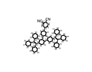 N#Cc1ncc(-c2ccc(-c3cc(C(=C(c4ccccc4)c4ccccc4)c4ccccc4)ccc3-c3ccc(C(=C(c4ccccc4)c4ccccc4)c4ccccc4)cc3)cc2)nc1C#N